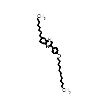 CCCCCCCCCCCCOc1ccc(-c2cnc3cc(CCCCCCCC)ccc3n2)cc1